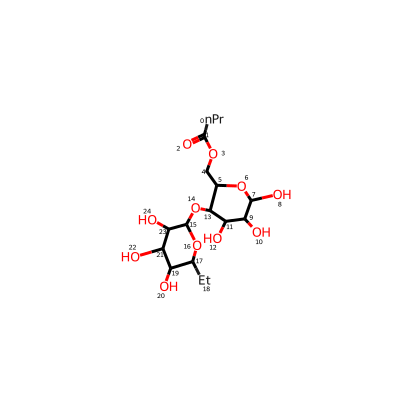 CCCC(=O)OCC1OC(O)C(O)C(O)C1OC1OC(CC)C(O)C(O)C1O